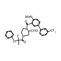 CNc1ccc(-c2cccc(C(F)(F)F)c2)cc1C(=O)N1CCN(C(=O)C(F)(F)Oc2ccccc2)CC1C=O